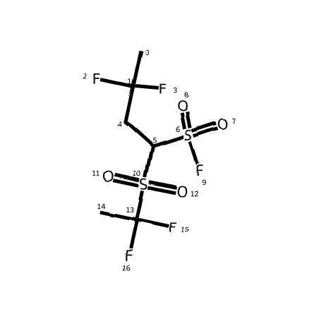 CC(F)(F)CC(S(=O)(=O)F)S(=O)(=O)C(C)(F)F